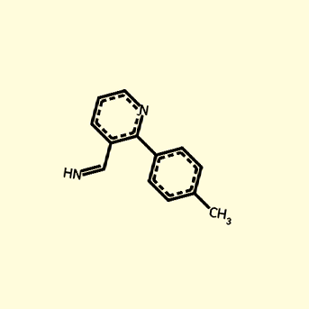 Cc1ccc(-c2ncccc2C=N)cc1